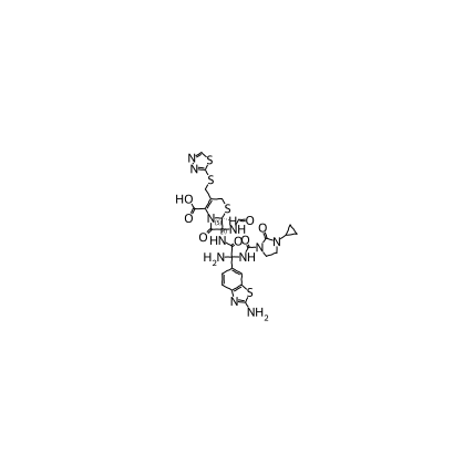 Nc1nc2ccc(C(N)(NC(=O)N3CCN(C4CC4)C3=O)C(=O)N[C@]3(NC=O)C(=O)N4C(C(=O)O)=C(CSc5nncs5)CS[C@H]43)cc2s1